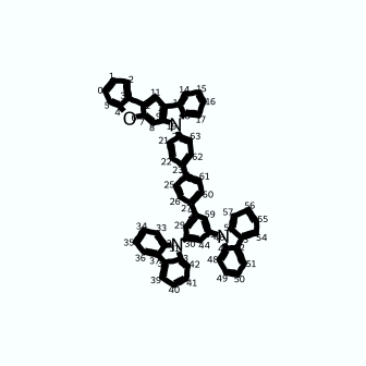 c1ccc2c(c1)oc1cc3c(cc12)c1ccccc1n3-c1ccc(-c2ccc(-c3cc(-n4c5ccccc5c5ccccc54)cc(-n4c5ccccc5c5ccccc54)c3)cc2)cc1